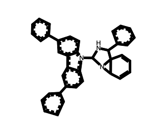 C1=CC2N3C(n4c5ccc(-c6ccccc6)cc5c5cc(-c6ccccc6)ccc54)NC(c4ccccc4)C23C=C1